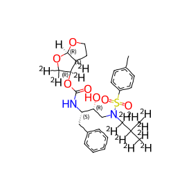 [2H]C([2H])([2H])C([2H])(C([2H])([2H])[2H])C([2H])([2H])N(C[C@@H](O)[C@H](Cc1ccccc1)NC(=O)O[C@@]1([2H])C([2H])([2H])O[C@H]2OCC[C@]21[2H])S(=O)(=O)c1ccc(C)cc1